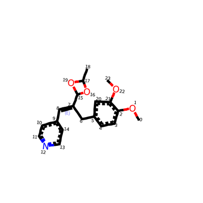 COc1ccc(C/C(=C\c2ccncc2)C2OC(C)O2)cc1OC